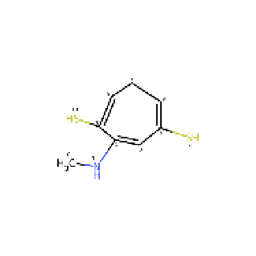 CNC1=CC(S)=CCC=C1S